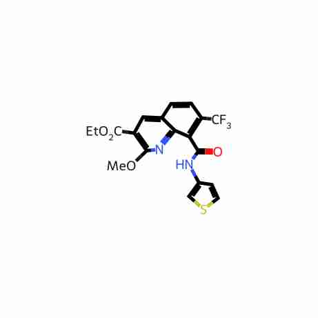 CCOC(=O)c1cc2ccc(C(F)(F)F)c(C(=O)Nc3ccsc3)c2nc1OC